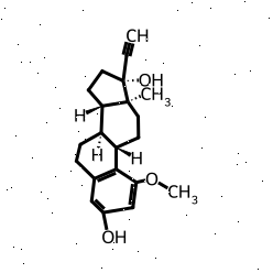 C#C[C@]1(O)CC[C@H]2[C@@H]3CCc4cc(O)cc(OC)c4[C@H]3CC[C@@]21C